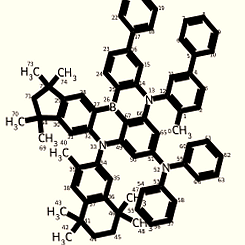 Cc1ccc(-c2ccccc2)cc1N1c2cc(-c3ccccc3)ccc2B2c3cc4c(cc3N(c3cc5c(cc3C)C(C)(C)CCC5(C)C)c3cc(N(c5ccccc5)c5ccccc5)cc1c32)C(C)(C)CC4(C)C